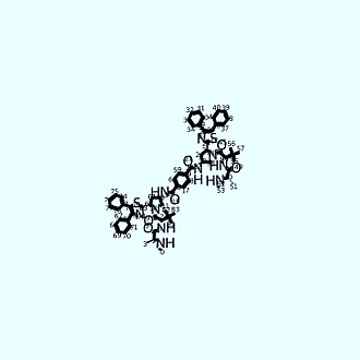 CN[C@@H](C)C(=O)N[C@H](C(=O)N1C[C@@H](NC(=O)c2ccc(C(=O)N[C@H]3C[C@@H](c4nc(-c5ccccc5)c(-c5ccccc5)s4)N(C(=O)[C@@H](NC(=O)[C@H](C)NC)C(C)(C)C)C3)cc2)C[C@H]1c1nc(-c2ccccc2)c(-c2ccccc2)s1)C(C)(C)C